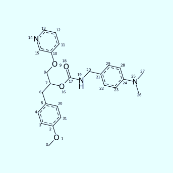 COc1ccc(CC(COc2cccnc2)OC(=O)NCc2ccc(N(C)C)cc2)cc1